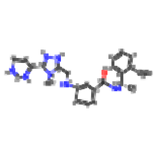 CCCn1c(CNc2cccc(C(=O)N[C@@H](C#N)c3ccccc3OC)c2)nnc1-c1ccncn1